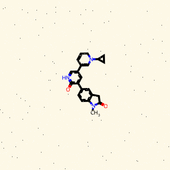 CN1C(=O)Cc2cc(-c3cc(C4=CN(C5CC5)CC=C4)c[nH]c3=O)ccc21